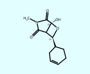 CN1C(=O)C2[C@H](C3CC=CCC3)O[C@]2(O)C1=O